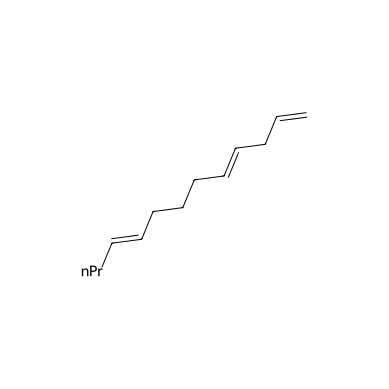 C=CCC=CCCCC=CCCC